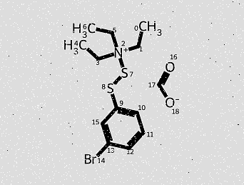 CC[N+](CC)(CC)SSc1cccc(Br)c1.O=C[O-]